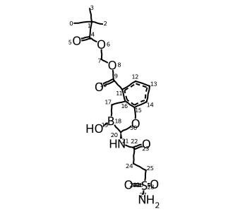 CC(C)(C)C(=O)OCOC(=O)c1cccc2c1CB(O)[C@H](NC(=O)CCS(N)(=O)=O)O2